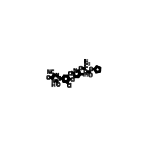 CC(OC(=O)OC1CCCC1)Oc1nnc(Oc2c(Cl)cc(-n3nc(C#N)c(=O)[nH]c3=O)cc2Cl)cc1C(C)C